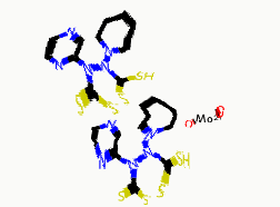 S=C([S-])N(c1cnccn1)N(C(=S)S)N1CCCCC1.S=C([S-])N(c1cnccn1)N(C(=S)S)N1CCCCC1.[O]=[Mo+2]=[O]